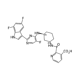 O=C(O)c1cccnc1C(=O)N[C@@H]1CCC[C@H](Nc2nc(-c3c[nH]c4c(F)cc(F)cc34)ncc2F)C1